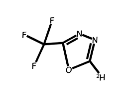 [2H]c1nnc(C(F)(F)F)o1